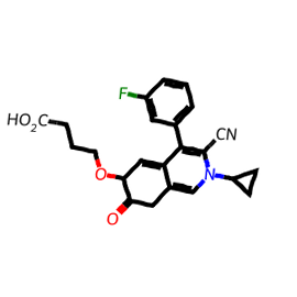 N#CC1=C(c2cccc(F)c2)C2=CC(OCCCC(=O)O)C(=O)CC2=CN1C1CC1